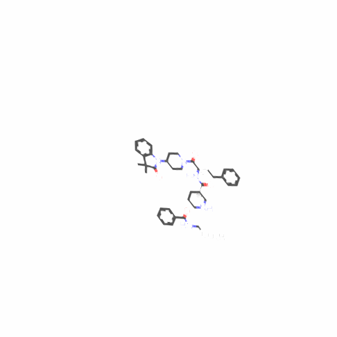 CC1(C)C(=O)N(C2CCN(C(=O)[C@H](CCc3ccccc3)NC(=O)[C@@H]3CCCNC3)CC2)c2ccccc21.O=C(O)CNC(=O)c1ccccc1